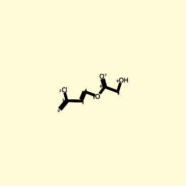 C=C(Cl)C=COC(=O)CO